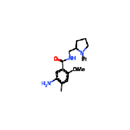 CCN1CCCC1CNC(=O)c1cc(N)c(C)cc1OC